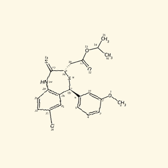 COc1cccc([C@@H]2S[C@@H](CC(=O)OC(C)C)C(=S)Nc3ccc(Cl)cc32)c1